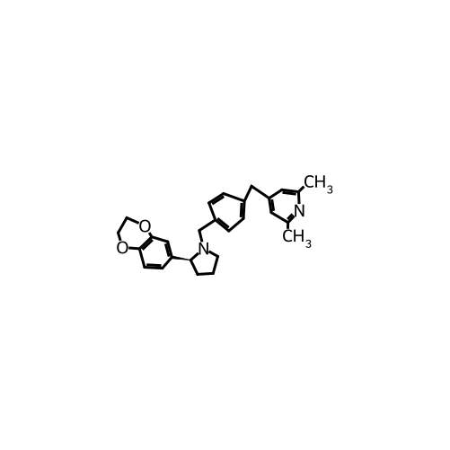 Cc1cc(Cc2ccc(CN3CCC[C@H]3c3ccc4c(c3)OCCO4)cc2)cc(C)n1